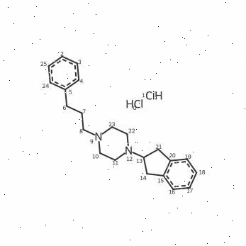 Cl.Cl.c1ccc(CCCN2CCN(C3Cc4ccccc4C3)CC2)cc1